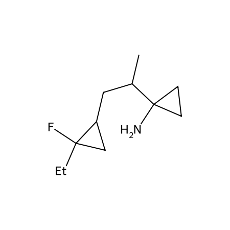 CCC1(F)CC1CC(C)C1(N)CC1